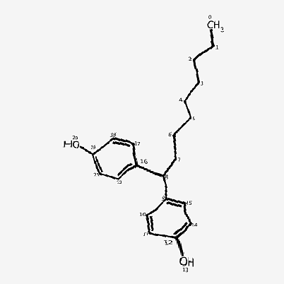 CCCCCCCCC(c1ccc(O)cc1)c1ccc(O)cc1